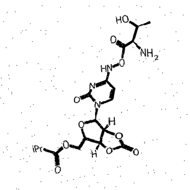 CC(C)C(=O)OCC1O[C@@H](n2ccc(NOC(=O)[C@H](N)[C@H](C)O)nc2=O)[C@@H]2OC(=O)O[C@H]12